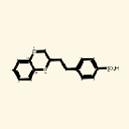 O=S(=O)(O)c1ccc(CCC2COc3ccccc3O2)cc1